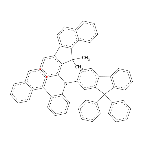 CC1(C)c2c(cccc2N(c2ccc3c(c2)C(c2ccccc2)(c2ccccc2)c2ccccc2-3)c2ccccc2-c2cccc3ccccc23)-c2ccc3ccccc3c21